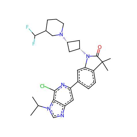 CC(C)n1cnc2cc(-c3ccc4c(c3)N([C@H]3C[C@@H](N5CCCC(C(F)F)C5)C3)C(=O)C4(C)C)nc(Cl)c21